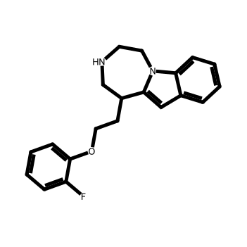 Fc1ccccc1OCCC1CNCCn2c1cc1ccccc12